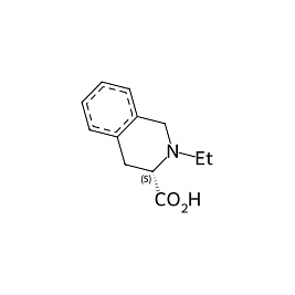 CCN1Cc2ccccc2C[C@H]1C(=O)O